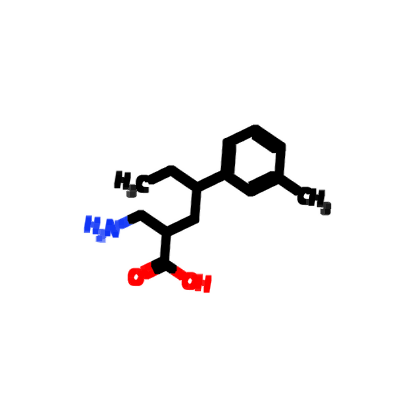 CCC(CC(CN)C(=O)O)c1cccc(C)c1